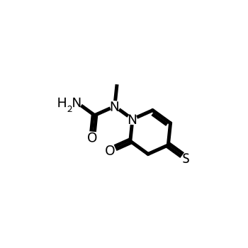 CN(C(N)=O)N1C=CC(=S)CC1=O